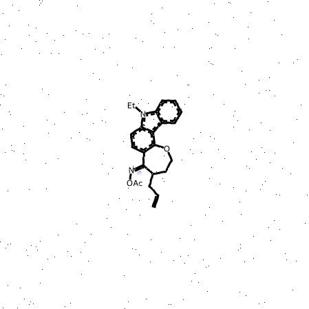 C=CCC1CCOc2c(ccc3c2c2ccccc2n3CC)/C1=N/OC(C)=O